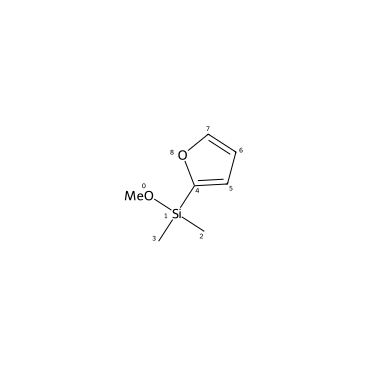 CO[Si](C)(C)c1ccco1